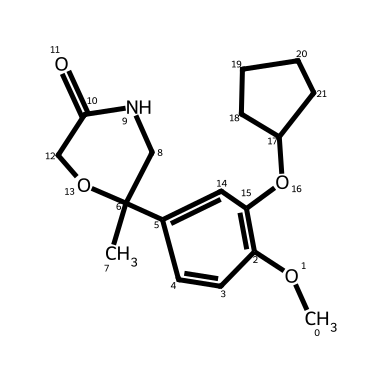 COc1ccc(C2(C)CNC(=O)CO2)cc1OC1CCCC1